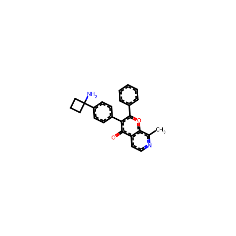 Cc1nccc2c(=O)c(-c3ccc(C4(N)CCC4)cc3)c(-c3ccccc3)oc12